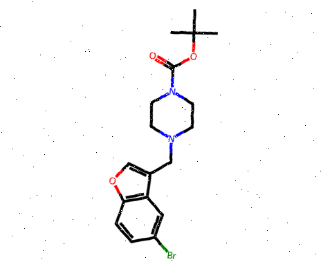 CC(C)(C)OC(=O)N1CCN(Cc2coc3ccc(Br)cc23)CC1